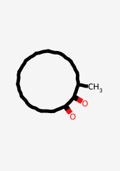 CC1CCCCCCCCCCCCC(=O)C1=O